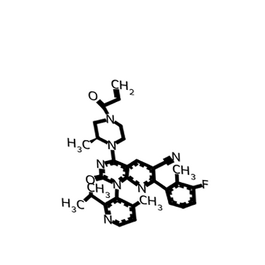 C=CC(=O)N1CCN(c2nc(=O)n(-c3c(C)ccnc3C(C)C)c3nc(-c4cccc(F)c4C)c(C#N)cc23)[C@@H](C)C1